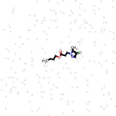 CCCCOC(=O)CCn1ncc(Cl)c1C